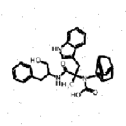 CC(Cc1c[nH]c2ccccc12)(C(=O)NC(CO)Cc1ccccc1)N(C(=O)O)c1cc2cc3c1CC(=C3)C2